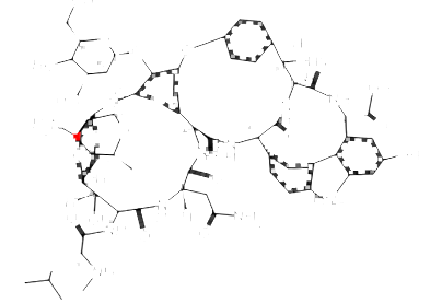 CN[C@H](CC(C)C)C(=O)NC1C(=O)N[C@@H](CC(N)=O)C(=O)N[C@H]2C(=O)N[C@H]3C(=O)N[C@H](C(=O)N[C@H](C(=O)O)c4cc(O)cc(O)c4-c4cc3ccc4O)[C@H](O)c3ccc(cc3)Oc3cc2cc(c3O[C@@H]2O[C@H](CO)C(O)[C@H](O)[C@H]2O[C@H]2C[C@](C)(N)[C@H](O)[C@H](C)O2)Oc2ccc(cc2)[C@H]1O